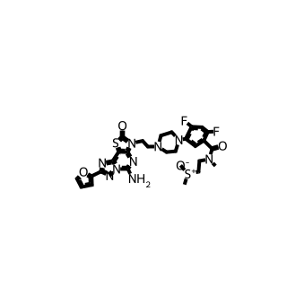 CN(CC[S+](C)[O-])C(=O)c1cc(N2CCN(CCn3c(=O)sc4c3nc(N)n3nc(-c5ccco5)nc43)CC2)c(F)cc1F